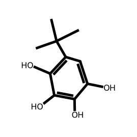 CC(C)(C)c1cc(O)c(O)c(O)c1O